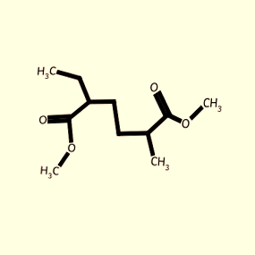 CCC(CCC(C)C(=O)OC)C(=O)OC